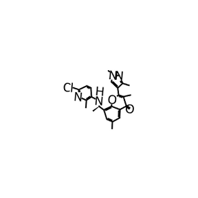 Cc1cc([C@@H](C)Nc2ccc(Cl)nc2C)c2oc(-c3cn(C)nc3C)c(C)c(=O)c2c1